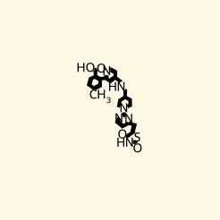 Cc1ccc(C(=O)O)c(-c2cc(CNCC3CCN(c4nccc(C=C5SC(=O)NC5=O)n4)CC3)ccn2)c1